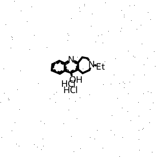 CCN1CCc2nc3ccccc3c(O)c2CC1.Cl.Cl